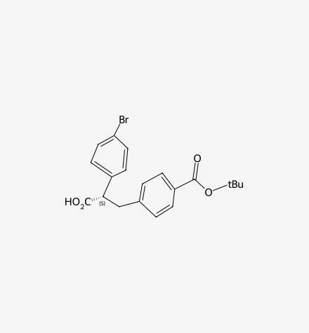 CC(C)(C)OC(=O)c1ccc(C[C@H](C(=O)O)c2ccc(Br)cc2)cc1